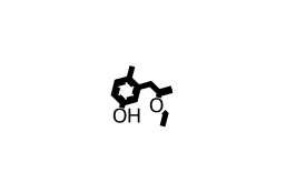 C=C(Cc1cc(O)ccc1C)OCC